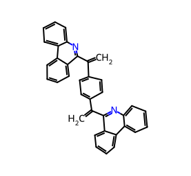 C=C(c1ccc(C(=C)c2nc3ccccc3c3ccccc23)cc1)c1nc2ccccc2c2ccccc12